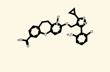 Cc1cccc(Cl)c1-c1noc(C2CC2)c1COc1ccc2c([n+]1[O-])CCc1ccc(C(=O)O)cc1O2